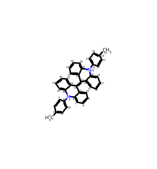 Cc1ccc(N2c3ccccc3C(=C3c4ccccc4N(c4ccc(C)cc4)c4ccccc43)c3ccccc32)cc1